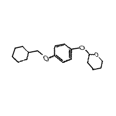 c1cc(OC2CCCCO2)ccc1OCC1CCCCC1